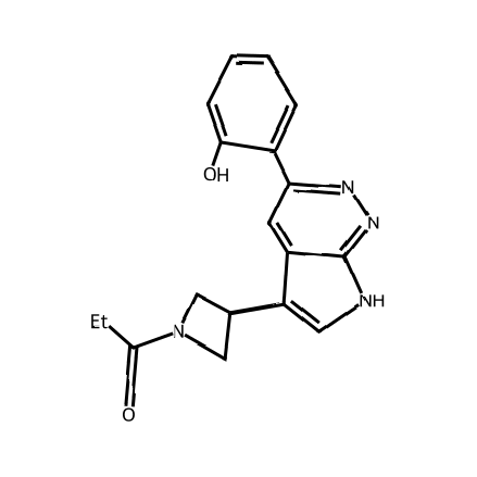 CCC(=O)N1CC(c2c[nH]c3nnc(-c4ccccc4O)cc23)C1